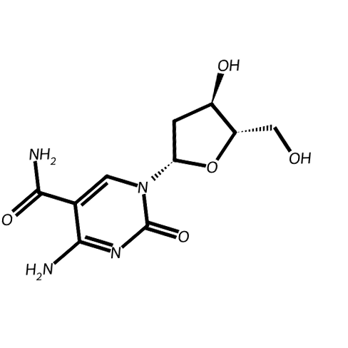 NC(=O)c1cn([C@@H]2C[C@@H](O)[C@H](CO)O2)c(=O)nc1N